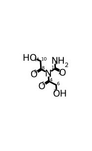 NC(=O)N(C(=O)CO)C(=O)CO